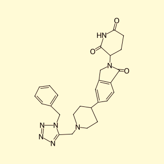 O=C1CCC(N2Cc3cc(C4CCN(Cc5nnnn5Cc5ccccc5)CC4)ccc3C2=O)C(=O)N1